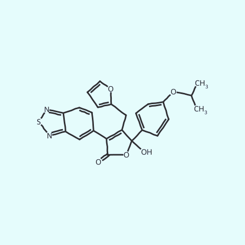 CC(C)Oc1ccc(C2(O)OC(=O)C(c3ccc4nsnc4c3)=C2Cc2ccco2)cc1